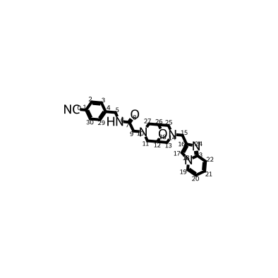 N#Cc1ccc(CNC(=O)CN2CC3CN(Cc4cn5ccccc5n4)CC(C2)O3)cc1